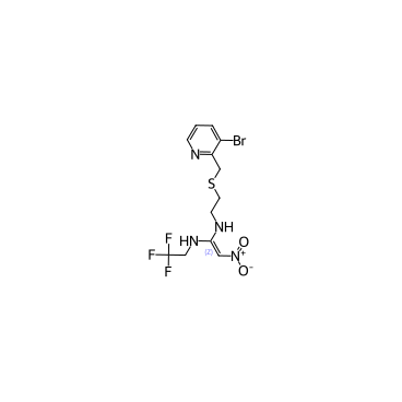 O=[N+]([O-])/C=C(\NCCSCc1ncccc1Br)NCC(F)(F)F